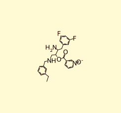 CCc1cccc(CNCC(OC(=O)c2ccc[n+]([O-])c2)C(N)Cc2cc(F)cc(F)c2)c1